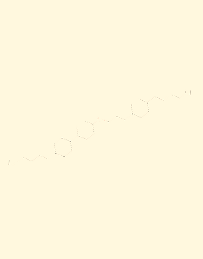 CCCCCC1CCC(CCCOC2CCC(C3CCC(CCCCC)CC3)CC2)CC1